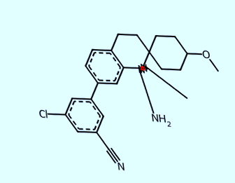 COC1CCC2(CCc3ccc(-c4cc(Cl)cc(C#N)c4)cc3C23N=C(C)C(N)=N3)CC1